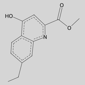 CCc1ccc2c(O)cc(C(=O)OC)nc2c1